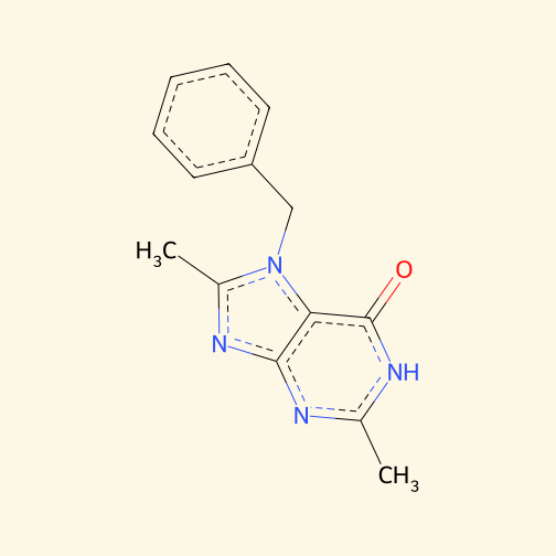 Cc1nc2nc(C)n(Cc3ccccc3)c2c(=O)[nH]1